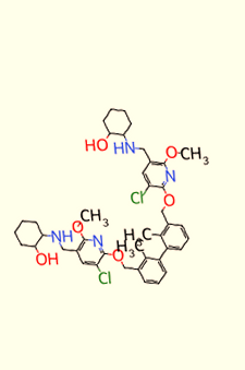 COc1nc(OCc2cccc(-c3cccc(COc4nc(OC)c(CNC5CCCCC5O)cc4Cl)c3C)c2C)c(Cl)cc1CNC1CCCCC1O